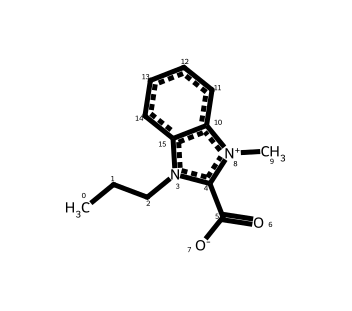 CCCn1c(C(=O)[O-])[n+](C)c2ccccc21